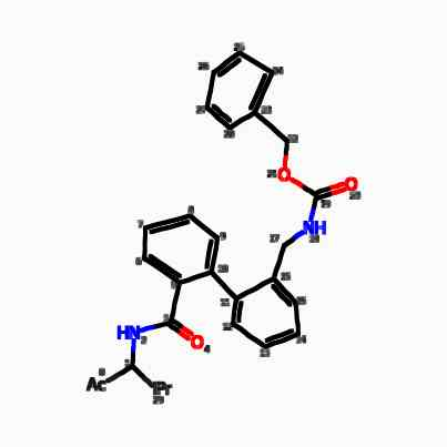 CC(=O)C(NC(=O)c1ccccc1-c1ccccc1CNC(=O)OCc1ccccc1)C(C)C